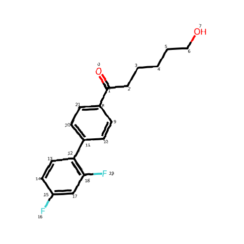 O=C(CCCCCO)c1ccc(-c2ccc(F)cc2F)cc1